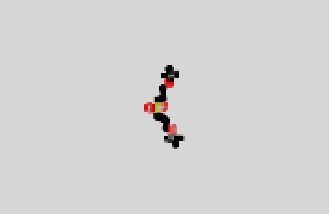 C[Si](C)(C)OCCCS(=O)(=O)CCCO[Si](C)(C)C